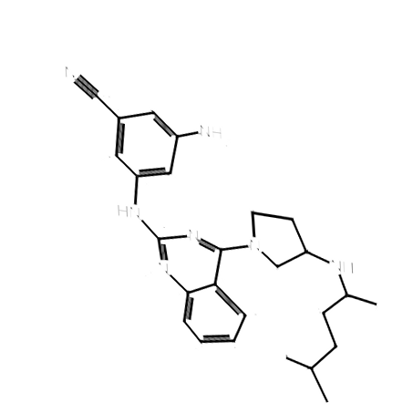 CC(C)CCC(C)NC1CCN(c2nc(Nc3cc(N)cc(C#N)c3)nc3ccccc23)C1